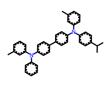 Cc1cccc(N(c2ccccc2)c2ccc(-c3ccc(N(c4ccc(C(C)C)cc4)c4cccc(C)c4)cc3)cc2)c1